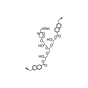 C#CCc1ccc2cc(C(=O)OCC(O)COCC(COCC(O)COC(=O)c3ccc4cc(CC#C)ccc4c3)OCC(O)COC(=O)CN(C)C(=O)CCCCCCCCCCC)ccc2c1